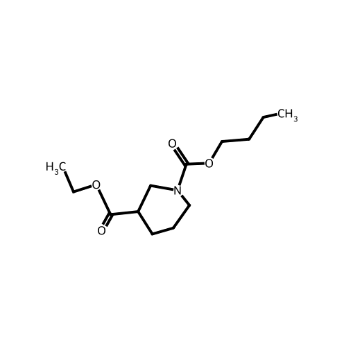 CCCCOC(=O)N1CCCC(C(=O)OCC)C1